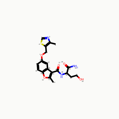 Cc1ncsc1COc1ccc2oc(C)c(C(=O)NC(CCO)C(N)=O)c2c1